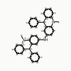 CN(C)c1ccc(Nc2ccc(N(C)C)c(C(c3ccccc3)c3ccccc3)c2)cc1C(c1ccccc1)c1ccccc1